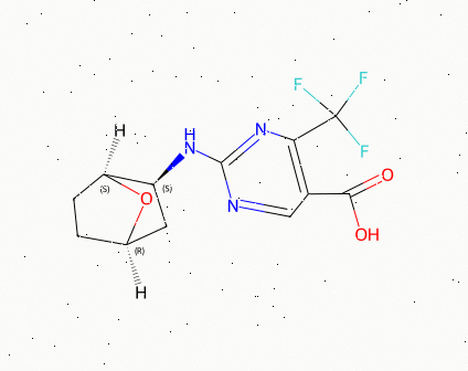 O=C(O)c1cnc(N[C@H]2C[C@H]3CC[C@@H]2O3)nc1C(F)(F)F